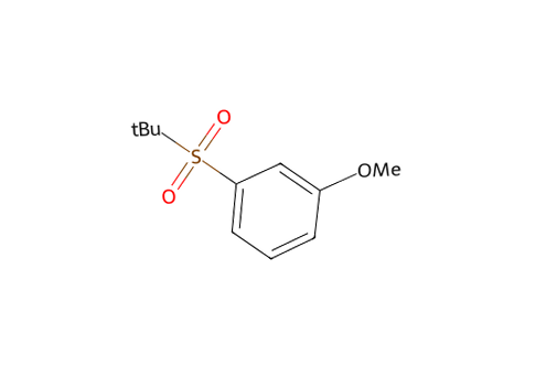 COc1cccc(S(=O)(=O)C(C)(C)C)c1